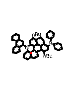 CCCCc1cc(N(c2ccccc2)c2cc3ccccc3c3ccccc23)c2c3ccccc3c3c(CCCC)cc(B(c4ccccc4)c4ccccc4)c4ccc1c2c43